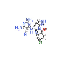 C[C@H](Nc1nc(N)nc(N)c1C#N)c1nc2cc(Cl)ccc2c(=O)n1-c1cc[nH]n1